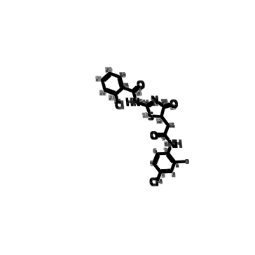 Cc1cc(Cl)ccc1NC(=O)CC1SC(NC(=O)c2ccccc2Cl)=NC1=O